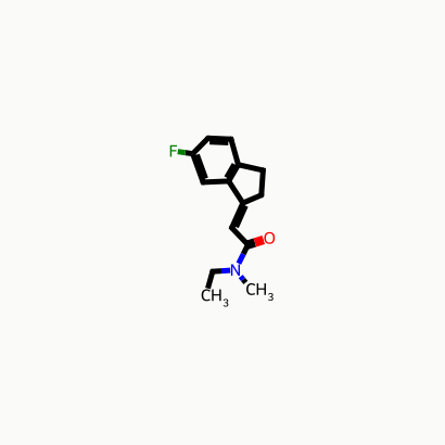 CCN(C)C(=O)C=C1CCc2ccc(F)cc21